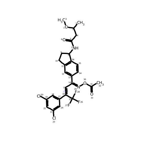 COC(C)CC(=O)NC1CCc2cc(C(/C=C(/c3cc(Cl)cc(Cl)c3)C(F)(F)F)=NOC(C)=O)ccc21